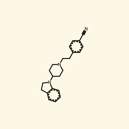 N#Cc1ccc(CCN2CCC(N3CCc4ccccc43)CC2)cc1